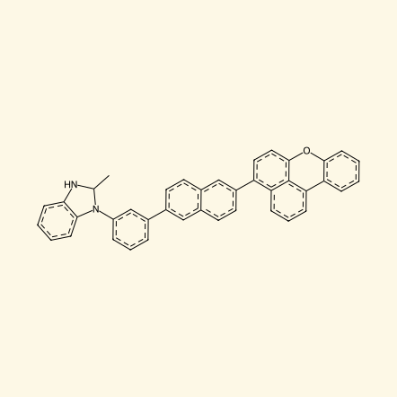 CC1Nc2ccccc2N1c1cccc(-c2ccc3cc(-c4ccc5c6c(cccc46)-c4ccccc4O5)ccc3c2)c1